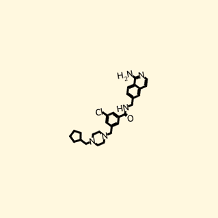 Nc1nccc2cc(CNC(=O)c3cc(Cl)cc(CN4CCN(CC5CCCC5)CC4)c3)ccc12